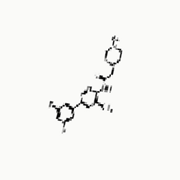 CC(=O)N1CCC(CC(=O)Nc2ncc(-c3cc(F)cc(F)c3)cc2C)CC1